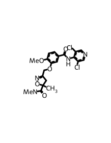 CNC(=O)C1(C)CC(COc2cc(C(=O)Nc3c(Cl)cncc3Cl)ccc2OC)=NO1